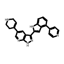 C1=C(c2cnc3[nH]nc(-c4cc5c(-c6ccncc6)cccc5[nH]4)c3c2)CCNC1